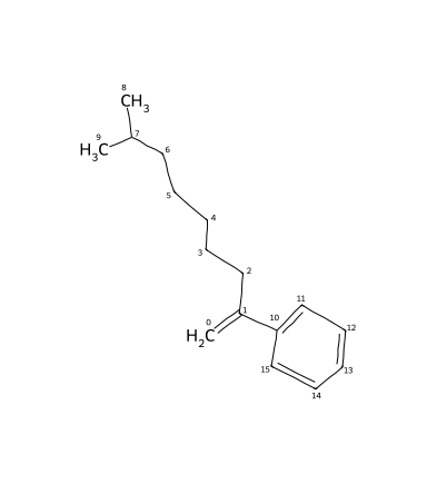 C=C(CCCCCC(C)C)c1ccccc1